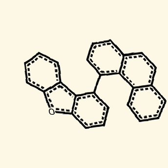 c1ccc2c(c1)ccc1cccc(-c3cccc4oc5ccccc5c34)c12